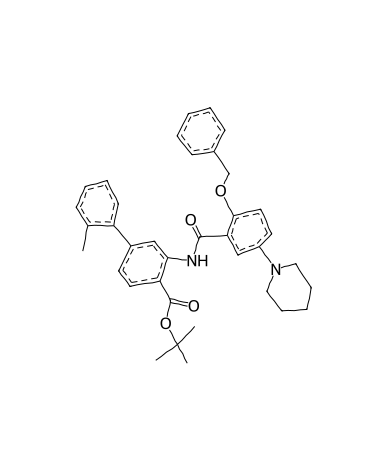 Cc1ccccc1-c1ccc(C(=O)OC(C)(C)C)c(NC(=O)c2cc(N3CCCCC3)ccc2OCc2ccccc2)c1